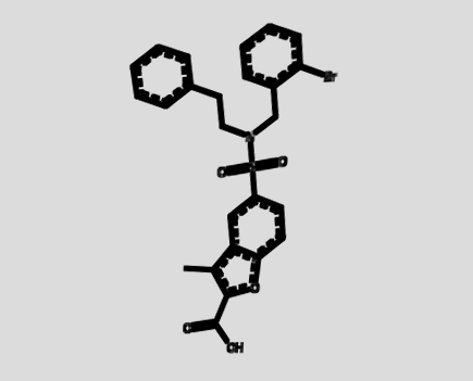 Cc1c(C(=O)O)oc2ccc(S(=O)(=O)N(CCc3ccccc3)Cc3ccccc3Br)cc12